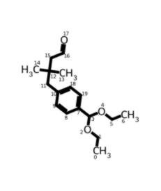 CCOC(OCC)c1ccc(CC(C)(C)CC=O)cc1